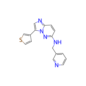 c1cncc(CNc2ccc3ncc(-c4ccsc4)n3n2)c1